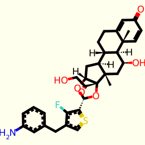 C[C@]12C=CC(=O)C=C1CC[C@@H]1[C@@H]2[C@@H](O)C[C@@]2(C)[C@H]1C[C@H]1O[C@@H](c3scc(Cc4cccc(N)c4)c3F)O[C@]12C(=O)CO